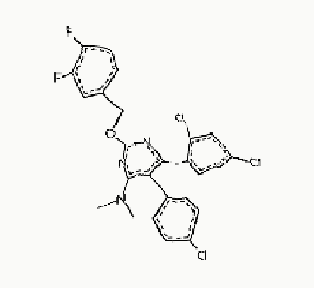 CN(C)c1nc(OCc2ccc(F)c(F)c2)nc(-c2ccc(Cl)cc2Cl)c1-c1ccc(Cl)cc1